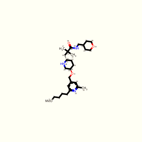 COCCCCc1cc(CO[C@@H]2CC[C@@H](CC(C)(C)C(=O)NCC3CCOCC3)NC2)cc(C)n1